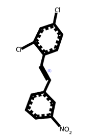 O=[N+]([O-])c1cccc(/C=C/c2ccc(Cl)cc2Cl)c1